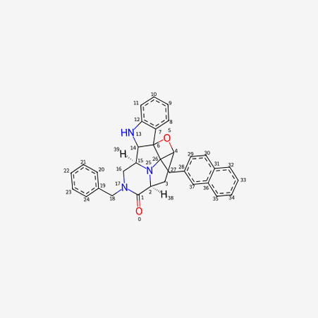 O=C1[C@@H]2CC3OC45c6ccccc6NC4[C@H](CN1Cc1ccccc1)N2C35Cc1ccc2ccccc2c1